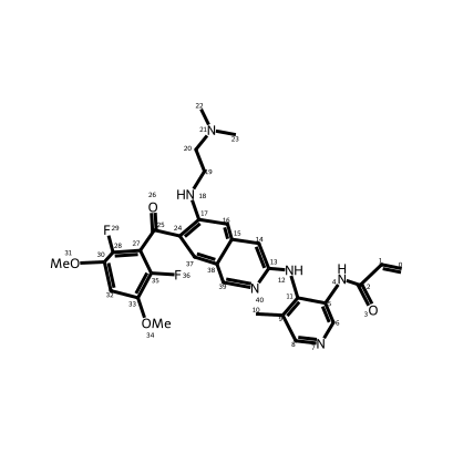 C=CC(=O)Nc1cncc(C)c1Nc1cc2cc(NCCN(C)C)c(C(=O)c3c(F)c(OC)cc(OC)c3F)cc2cn1